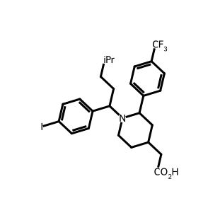 CC(C)CCC(c1ccc(I)cc1)N1CCC(CC(=O)O)CC1c1ccc(C(F)(F)F)cc1